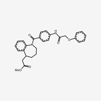 COC(=O)CC1CCCN(C(=O)c2ccc(NC(=O)COc3ccccc3)cc2)c2ccccc21